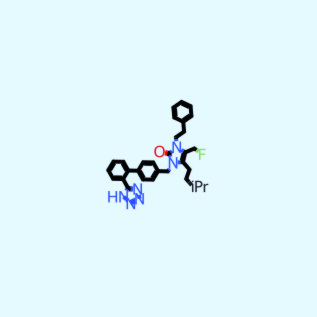 CC(C)CCc1c(CF)n(CCc2ccccc2)c(=O)n1Cc1ccc(-c2ccccc2-c2nnn[nH]2)cc1